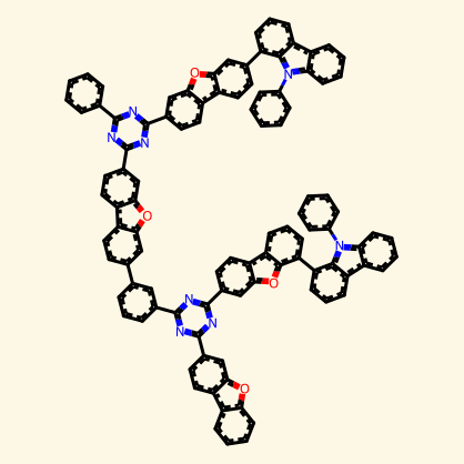 c1ccc(-c2nc(-c3ccc4c(c3)oc3cc(-c5cccc(-c6nc(-c7ccc8c(c7)oc7ccccc78)nc(-c7ccc8c(c7)oc7c(-c9cccc%10c%11ccccc%11n(-c%11ccccc%11)c9%10)cccc78)n6)c5)ccc34)nc(-c3ccc4c(c3)oc3cc(-c5cccc6c7ccccc7n(-c7ccccc7)c56)ccc34)n2)cc1